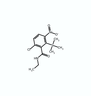 CCNC(=O)c1c(Cl)ccc([N+](=O)[O-])c1[Si](C)(C)C